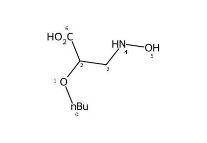 CCCCOC(CNO)C(=O)O